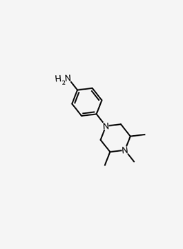 CC1CN(c2ccc(N)cc2)CC(C)N1C